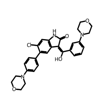 O=C1Nc2cc(Cl)c(-c3ccc(N4CCOCC4)cc3)cc2C1=C(O)c1cccc(N2CCOCC2)c1